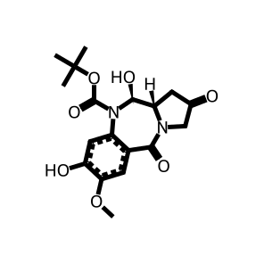 COc1cc2c(cc1O)N(C(=O)OC(C)(C)C)[C@@H](O)[C@@H]1CC(=O)CN1C2=O